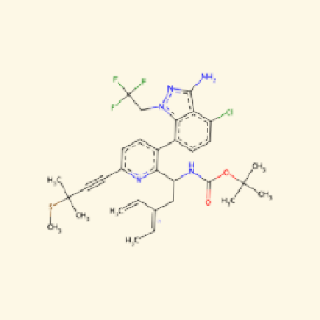 C=C/C(=C\C)CC(NC(=O)OC(C)(C)C)c1nc(C#CC(C)(C)SC)ccc1-c1ccc(Cl)c2c(N)nn(CC(F)(F)F)c12